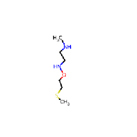 CNCCNOCCSC